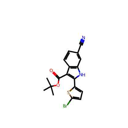 CC(C)(C)OC(=O)c1c(-c2ccc(Br)s2)[nH]c2cc(C#N)ccc12